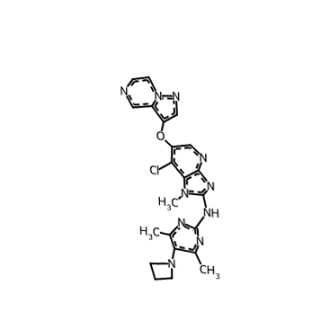 Cc1nc(Nc2nc3ncc(Oc4cnn5ccncc45)c(Cl)c3n2C)nc(C)c1N1CCC1